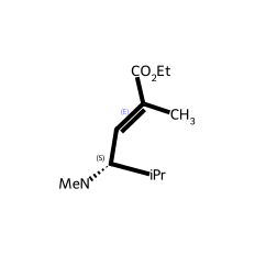 CCOC(=O)/C(C)=C/[C@@H](NC)C(C)C